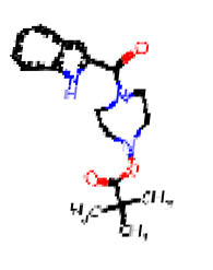 CC(C)(C)C(=O)ON1CCN(C(=O)c2cc3ccccc3[nH]2)CC1